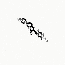 Cc1cn2cc(-c3cc4ccc(N5CCNCC5)cc4oc3=O)nc2cn1